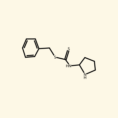 S=C(NC1CCCN1)SCc1ccccc1